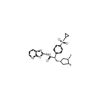 O=C(Nc1nc2cccnc2s1)[C@H](C[C@H]1C[C@@H](F)[C@@H](F)C1)c1ccc(S(=O)(=O)C2CC2)cc1